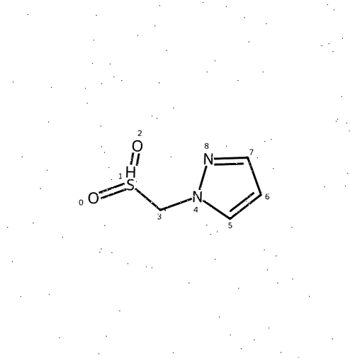 O=[SH](=O)[CH]n1cccn1